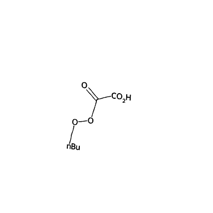 CCCCOOC(=O)C(=O)O